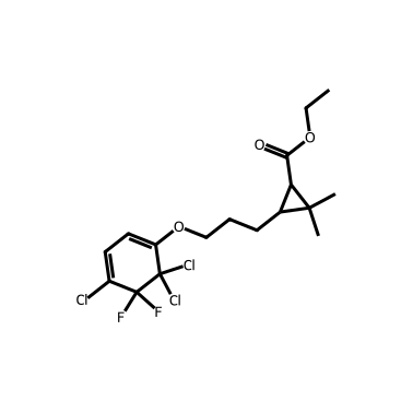 CCOC(=O)C1C(CCCOC2=CC=C(Cl)C(F)(F)C2(Cl)Cl)C1(C)C